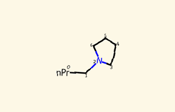 C[CH]CCN1CCCC1